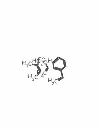 C=CC(=O)O.C=Cc1ccccc1.CC=C(C)C(=O)O